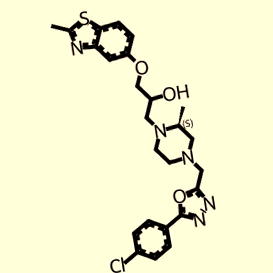 Cc1nc2cc(OCC(O)CN3CCN(Cc4nnc(-c5ccc(Cl)cc5)o4)C[C@@H]3C)ccc2s1